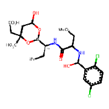 COCC(NC(O)c1cc(Cl)ccc1Cl)C(=O)N[C@@H](CC(C)C)B1OC(O)CC(CC(=O)O)(C(=O)O)O1